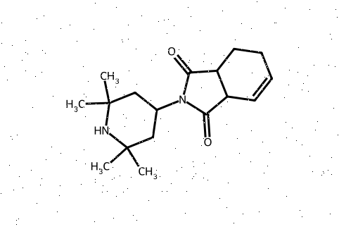 CC1(C)CC(N2C(=O)C3C=CCCC3C2=O)CC(C)(C)N1